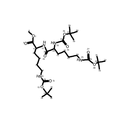 COC(=O)C(CCCCNC(=O)OC(C)(C)C)NC(=O)C(CCCCNC(=O)OC(C)(C)C)NC(=O)OC(C)(C)C